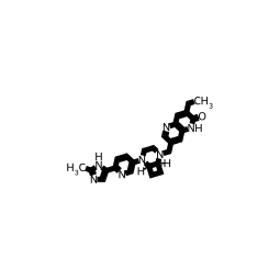 CCc1cc2ncc(CN3CCN(c4ccc(-c5cnc(C)[nH]5)nc4)[C@@H]4CC[C@@H]43)cc2[nH]c1=O